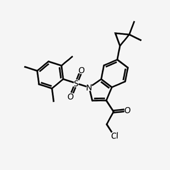 Cc1cc(C)c(S(=O)(=O)n2cc(C(=O)CCl)c3ccc(C4CC4(C)C)cc32)c(C)c1